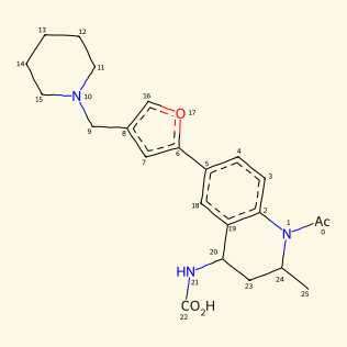 CC(=O)N1c2ccc(-c3cc(CN4CCCCC4)co3)cc2C(NC(=O)O)CC1C